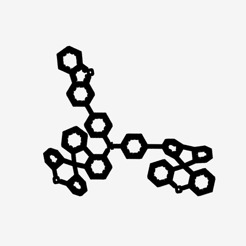 c1ccc2c(c1)Oc1ccccc1C21c2ccccc2-c2ccc(-c3ccc(N(c4ccc(-c5ccc6c(c5)oc5ccccc56)cc4)c4cccc5c4-c4ccccc4C54c5ccccc5Oc5ccccc54)cc3)cc21